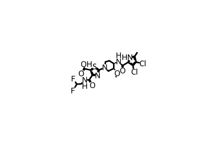 CO[C@H]1CN(c2nc(C(=O)NCC(F)F)c(C(=O)O)s2)CC[C@H]1NC(=O)c1[nH]c(C)c(Cl)c1Cl